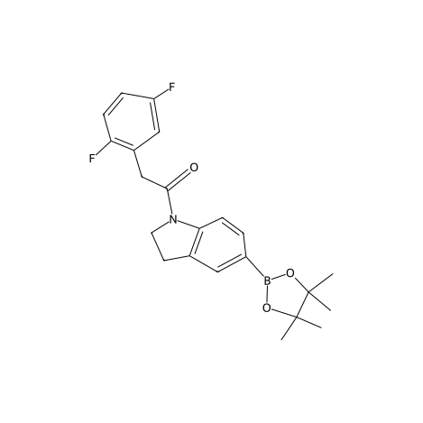 CC1(C)OB(c2ccc3c(c2)CCN3C(=O)Cc2cc(F)ccc2F)OC1(C)C